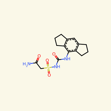 NC(=O)CS(=O)(=O)NC(=O)Nc1c2c(cc3c1CCC3)CCC2